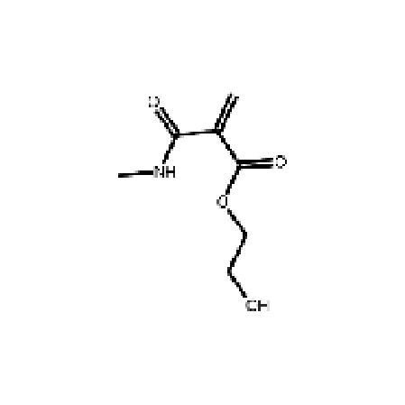 C=C(C(=O)NC)C(=O)OCCO